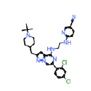 CC(C)(C)N1CCC(Cc2cc3c(NCCNc4ccc(C#N)cn4)nc(-c4ccc(Cl)cc4Cl)cn3n2)CC1